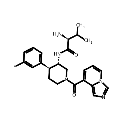 CC(C)[C@H](N)C(=O)N[C@@H]1CN(C(=O)c2cccn3cncc23)CC[C@H]1c1cccc(F)c1